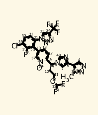 Cn1nncc1-c1cn([C@@H](CCOC(F)F)c2ccc(-c3c(-n4cc(C(F)(F)F)nn4)ccc(Cl)c3F)c[n+]2[O-])cn1